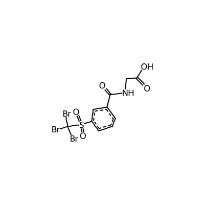 O=C(O)CNC(=O)c1cccc(S(=O)(=O)C(Br)(Br)Br)c1